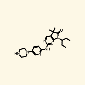 CCC(CC)N1C(=O)C(C)(C)c2cnc(Nc3ccc(N4CCNCC4)cn3)nc21